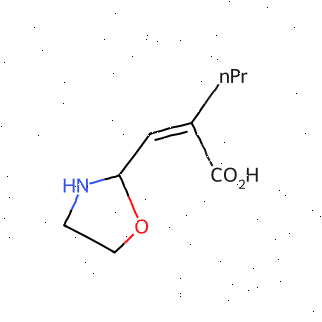 CCCC(=CC1NCCO1)C(=O)O